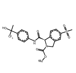 CC(C)(C)OC(=O)N1Cc2cc(S(C)(=O)=O)ccc2[C@@H]1C(=O)Nc1ccc(C(C)(O)C(F)(F)F)cc1